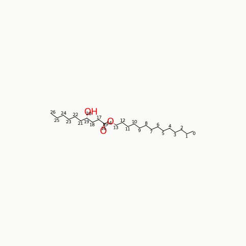 CCCCCCCCCCCCCCOC(=O)CC[C@@H](O)CCCCCC